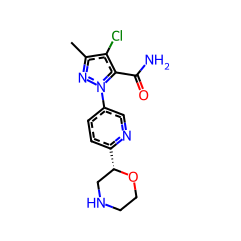 Cc1nn(-c2ccc([C@H]3CNCCO3)nc2)c(C(N)=O)c1Cl